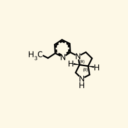 CCc1cccc(N2CC[C@@H]3CNC[C@@H]32)n1